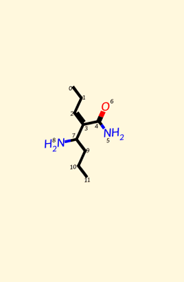 CCC=C(C(N)=O)C(N)CCC